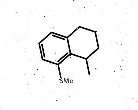 CSc1cccc2c1C(C)CCC2